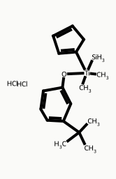 CC(C)(C)c1cccc([O][Ti]([CH3])([CH3])([SiH3])[C]2=CC=CC2)c1.Cl.Cl